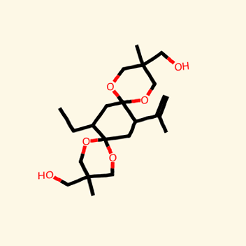 C=C(C)C1CC2(OCC(C)(CO)CO2)C(CC)CC12OCC(C)(CO)CO2